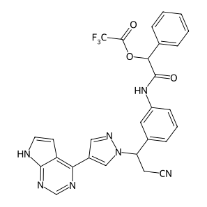 N#CCC(c1cccc(NC(=O)C(OC(=O)C(F)(F)F)c2ccccc2)c1)n1cc(-c2ncnc3[nH]ccc23)cn1